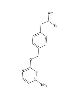 CCCC(CC)Cc1ccc(COc2nccc(N)n2)cc1